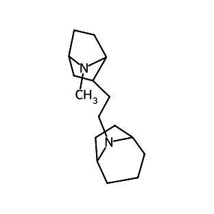 CN1C2CCC1C(CCN1C3CCCC1CC3)C2